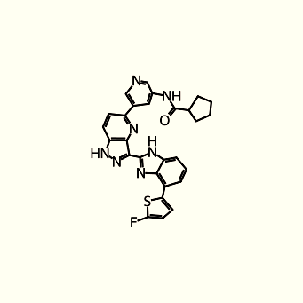 O=C(Nc1cncc(-c2ccc3[nH]nc(-c4nc5c(-c6ccc(F)s6)cccc5[nH]4)c3n2)c1)C1CCCC1